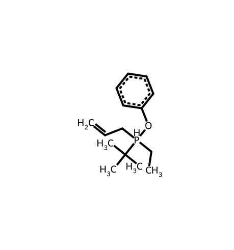 C=CC[PH](CC)(Oc1ccccc1)C(C)(C)C